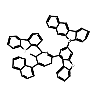 CC1C(c2cccc3ccccc23)=CCC(c2cc(-n3c4ccccc4c4cc5ccccc5cc43)cc3oc4ccccc4c23)=NC1c1cccc2c1oc1ccccc12